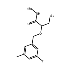 CC(C)(C)CC(OCc1cc(F)cc(F)c1)C(=O)NC(C)(C)C